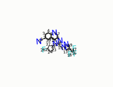 N#Cc1ccc2ncc3nc(Cn4cc(C(F)(F)F)cn4)n(C4CCC(F)C4)c3c2c1